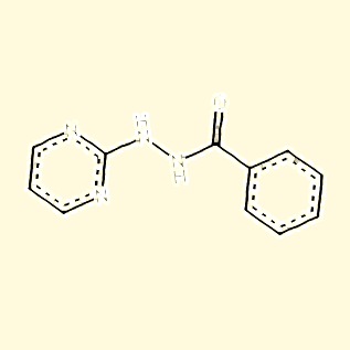 O=C(NNc1ncccn1)c1ccccc1